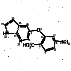 Nc1ccc(C(=O)O)c(Oc2cnc3[nH]ccc3c2)c1